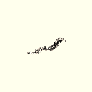 CCCCCCCCc1cnc(-c2ccc(OC[C@H](F)COCC(F)(F)C(F)(F)C(F)(F)C(F)(F)C(F)(F)OC(F)(F)C(F)(F)OC(F)(F)C(F)(F)C(F)(F)C(F)(F)F)cc2)nc1